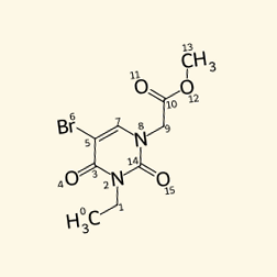 CCn1c(=O)c(Br)cn(CC(=O)OC)c1=O